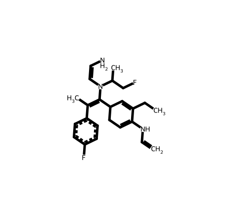 C=CNC1=CCC(/C(=C(/C)c2ccc(F)cc2)N(/C=C\N)C(C)CF)C=C1CC